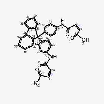 O=C(O)/C=C\C(=O)Nc1ccc(C2(c3ccc(NC(=O)/C=C\C(=O)O)cc3)c3ccccc3-c3ccccc32)cc1